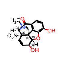 CN1CC[C@]23c4c5ccc(O)c4O[C@H]2[C@@H](O)C=C[C@@]3([N+](=O)[O-])[C@H]1C5=O